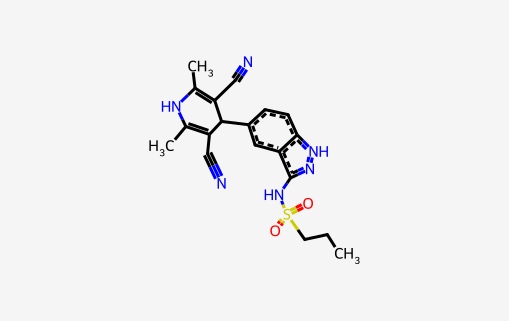 CCCS(=O)(=O)Nc1n[nH]c2ccc(C3C(C#N)=C(C)NC(C)=C3C#N)cc12